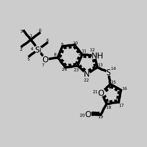 CC(C)(C)[Si](C)(C)Oc1ccc2[nH]c(Sc3ccc(C=O)o3)nc2c1